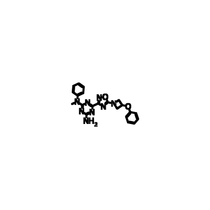 CN(c1ccccc1)c1nc(N)nc(-c2noc(N3CC(Oc4ccccc4)C3)n2)n1